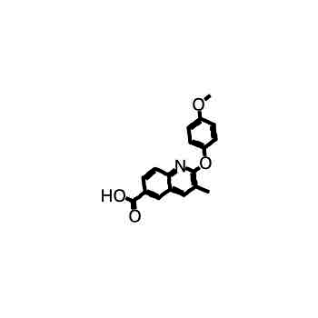 COc1ccc(Oc2nc3ccc(C(=O)O)cc3cc2C)cc1